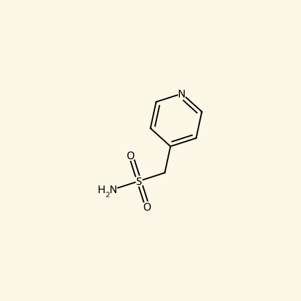 NS(=O)(=O)Cc1ccncc1